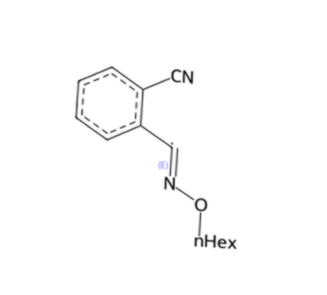 CCCCCCO/N=[C]/c1ccccc1C#N